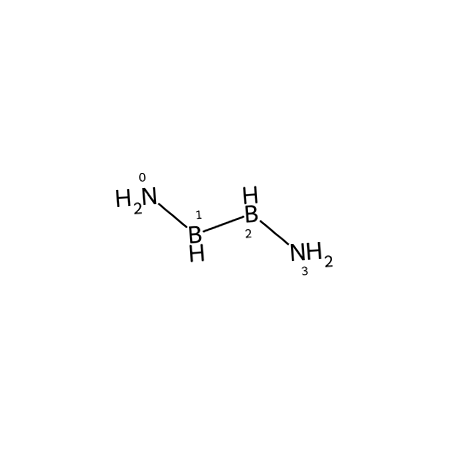 NBBN